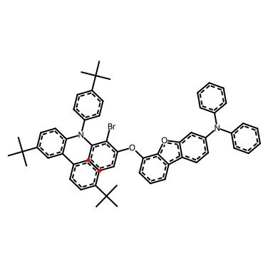 CC(C)(C)c1ccc(-c2cc(C(C)(C)C)ccc2N(c2ccc(C(C)(C)C)cc2)c2cccc(Oc3cccc4c3oc3cc(N(c5ccccc5)c5ccccc5)ccc34)c2Br)cc1